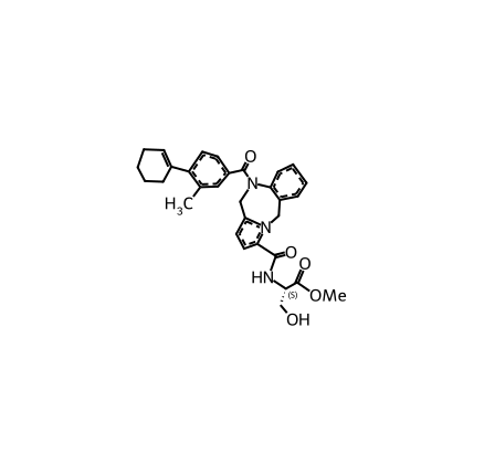 COC(=O)[C@H](CO)NC(=O)c1ccc2n1Cc1ccccc1N(C(=O)c1ccc(C3=CCCCC3)c(C)c1)C2